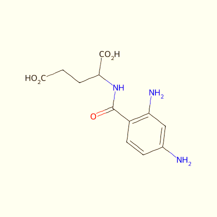 Nc1ccc(C(=O)NC(CCC(=O)O)C(=O)O)c(N)c1